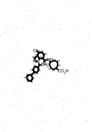 CC(c1ccc(-c2ccccc2)cc1)n1ncc2c(Cl)ccc(C(=O)NC3CCCC(C(=O)O)CCC3)c21